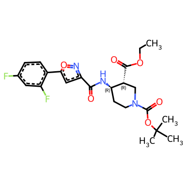 CCOC(=O)[C@@H]1CN(C(=O)OC(C)(C)C)CC[C@H]1NC(=O)c1cc(-c2ccc(F)cc2F)on1